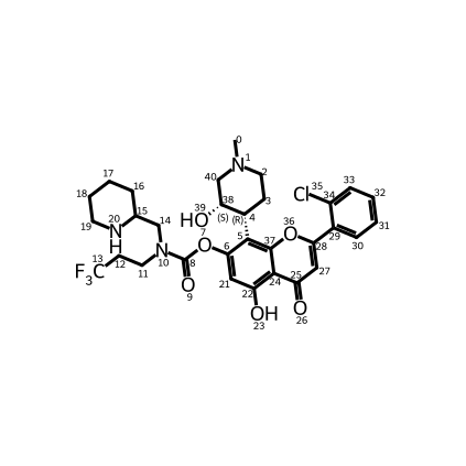 CN1CC[C@H](c2c(OC(=O)N(CCC(F)(F)F)CC3CCCCN3)cc(O)c3c(=O)cc(-c4ccccc4Cl)oc23)[C@H](O)C1